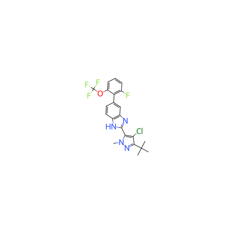 Cn1nc(C(C)(C)C)c(Cl)c1-c1nc2cc(-c3c(F)cccc3OC(F)(F)F)ccc2[nH]1